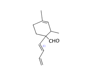 C=C/C=C/C1(C=O)CCC(C)=CC1C